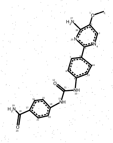 COc1cnc(-c2ccc(NC(=O)Nc3ccc(C(N)=O)cc3)cc2)nc1N